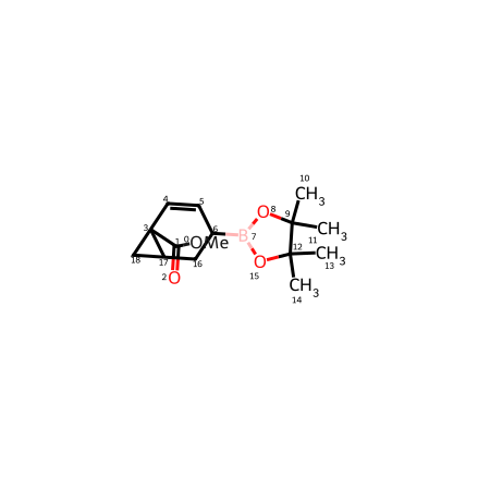 COC(=O)C12C=CC(B3OC(C)(C)C(C)(C)O3)CC1C2